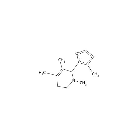 CC1=C(C)C(c2occc2C)N(C)CC1